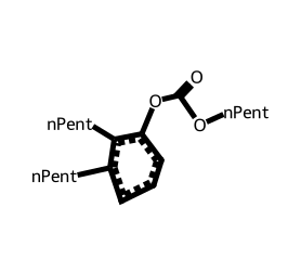 CCCCCOC(=O)Oc1cccc(CCCCC)c1CCCCC